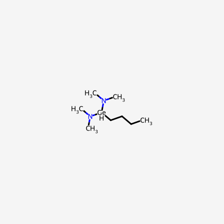 CCC[CH2][GeH]([N](C)C)[N](C)C